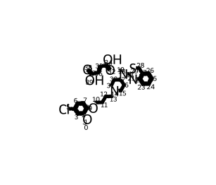 COc1cc(Cl)ccc1OCCCCN1CCC(N(C)C2=Nc3ccccc3CS2)CC1.O=C(O)C=CC(=O)O